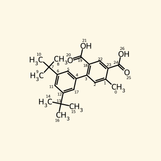 Cc1cc(-c2cc(C(C)(C)C)cc(C(C)(C)C)c2)c(C(=O)O)cc1C(=O)O